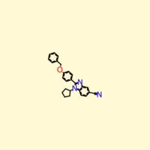 N#Cc1ccc2c(c1)nc(-c1ccc(OCc3ccccc3)cc1)n2C1CCCC1